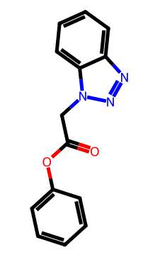 O=C(Cn1nnc2ccccc21)Oc1ccccc1